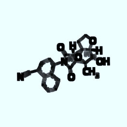 CC12OC3(CCO[C@@H]3[C@@H]1O)[C@H]1C(=O)N(c3ccc(C#N)c4ccccc34)C(=O)C12